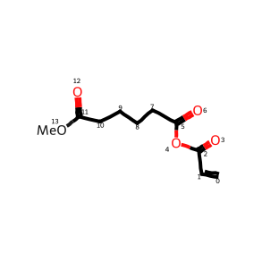 C=CC(=O)OC(=O)CCCCC(=O)OC